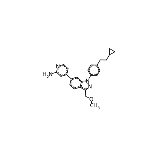 COCc1nn(-c2ccc(CCC3CC3)cc2)c2cc(-c3ccnc(N)c3)ccc12